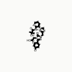 CC(C)(O)C(=O)Nc1ncccc1-n1cnc(Cn2nc(-c3ccc(Cl)cc3)n(C[C@H](O)C(F)(F)F)c2=O)n1